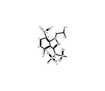 CS(=O)(=O)N(c1nn(CC(F)F)c2c([N+](=O)[O-])ccc(Cl)c12)S(C)(=O)=O